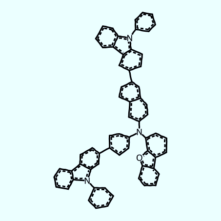 c1ccc(-n2c3ccccc3c3cc(-c4ccc5cc(N(c6ccc(-c7ccc8c9ccccc9n(-c9ccccc9)c8c7)cc6)c6cccc7c6oc6ccccc67)ccc5c4)ccc32)cc1